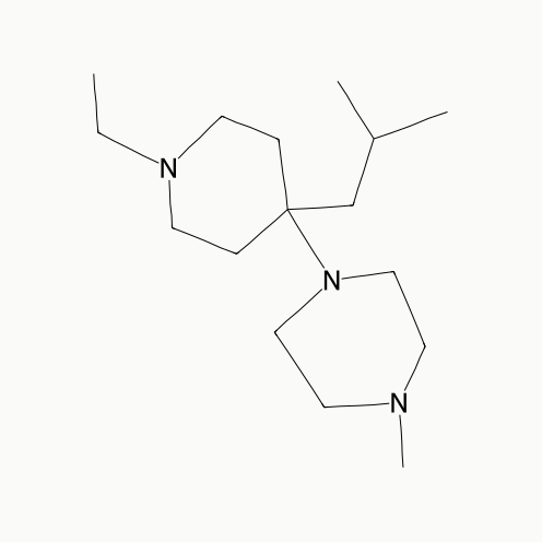 CCN1CCC(CC(C)C)(N2CCN(C)CC2)CC1